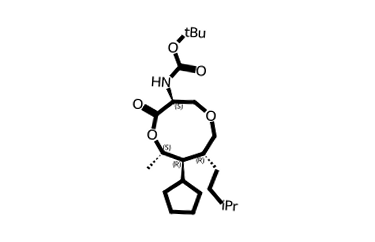 CC(C)CC[C@H]1COC[C@H](NC(=O)OC(C)(C)C)C(=O)O[C@@H](C)[C@@H]1C1CCCC1